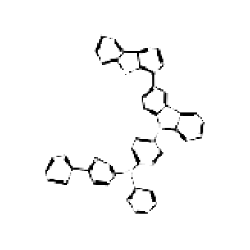 c1ccc(-c2ccc(N(c3ccccc3)c3ccc(-n4c5ccccc5c5cc(-c6cccc7c6sc6ccccc67)ccc54)cc3)cc2)cc1